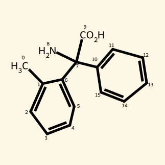 Cc1ccccc1C(N)(C(=O)O)c1ccccc1